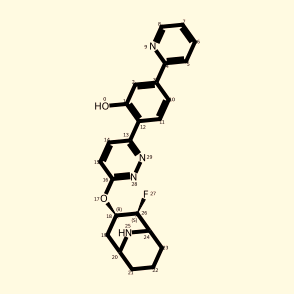 Oc1cc(-c2ccccn2)ccc1-c1ccc(O[C@@H]2CC3CCCC(N3)[C@@H]2F)nn1